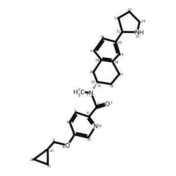 CN(C(=O)c1ccc(OCC2CC2)cn1)[C@H]1CCc2cc(C3CCCN3)ccc2C1